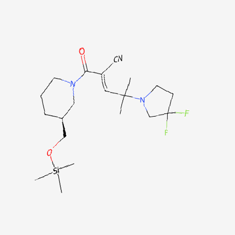 CC(C)(C=C(C#N)C(=O)N1CCC[C@H](CO[Si](C)(C)C)C1)N1CCC(F)(F)C1